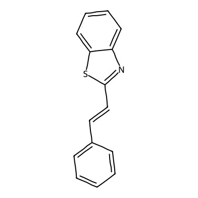 C(=Cc1nc2ccccc2s1)c1ccccc1